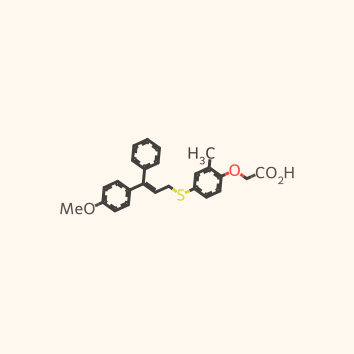 COc1ccc(C(=CCSc2ccc(OCC(=O)O)c(C)c2)c2ccccc2)cc1